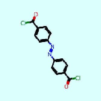 O=C(Cl)c1ccc(N=Nc2ccc(C(=O)Cl)cc2)cc1